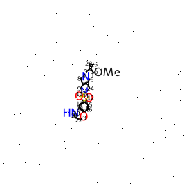 COCC1(CN2CC3=C(C2)CN(S(=O)(=O)c2ccc4c(c2)NCCO4)C3)CC1